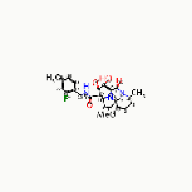 CO[C@H]1CC[C@H](C)N2C[C@]13CCc1c(C(=O)NCc4ccc(C)cc4F)c(=O)c(O)c(n13)C2=O